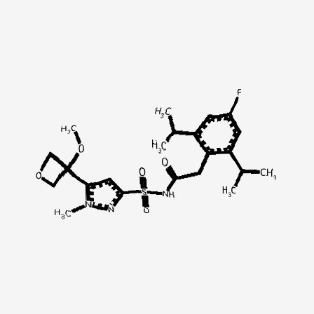 COC1(c2cc(S(=O)(=O)NC(=O)Cc3c(C(C)C)cc(F)cc3C(C)C)nn2C)COC1